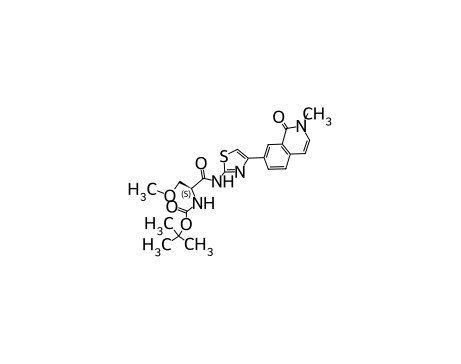 COC[C@H](NC(=O)OC(C)(C)C)C(=O)Nc1nc(-c2ccc3ccn(C)c(=O)c3c2)cs1